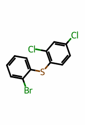 Clc1ccc(Sc2ccccc2Br)c(Cl)c1